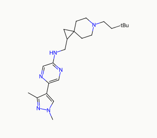 Cc1nn(C)cc1-c1cnc(NCC2CC23CCN(CCC(C)(C)C)CC3)cn1